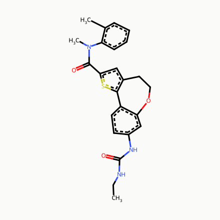 CCNC(=O)Nc1ccc2c(c1)OCCc1cc(C(=O)N(C)c3ccccc3C)sc1-2